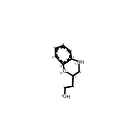 OCCC1CNc2ccccc2O1